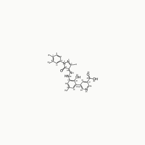 CC1=NN(c2ccc(C)c(C)c2)C(=O)C1=NNc1cc(C)cc(-c2cncc(C(=O)O)c2)c1O